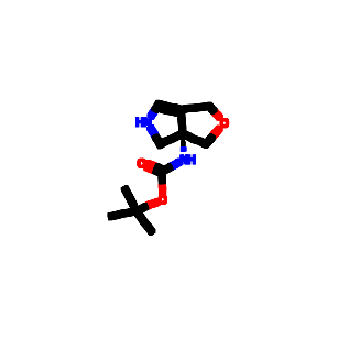 CC(C)(C)OC(=O)N[C@]12CNC=C1COC2